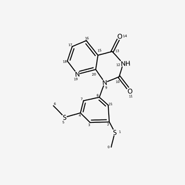 CSc1cc(SC)cc(-n2c(=O)[nH]c(=O)c3cccnc32)c1